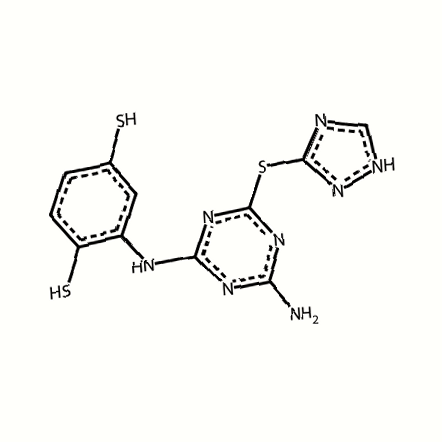 Nc1nc(Nc2cc(S)ccc2S)nc(Sc2nc[nH]n2)n1